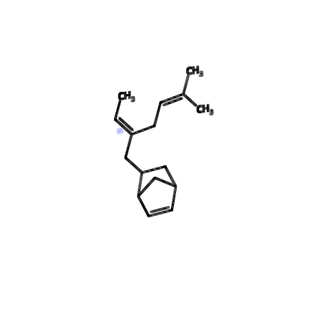 C/C=C(\CC=C(C)C)CC1CC2C=CC1C2